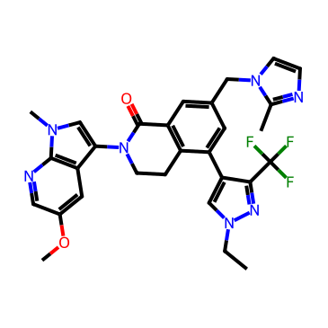 CCn1cc(-c2cc(Cn3ccnc3C)cc3c2CCN(c2cn(C)c4ncc(OC)cc24)C3=O)c(C(F)(F)F)n1